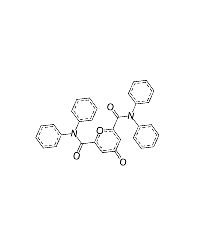 O=C(c1cc(=O)cc(C(=O)N(c2ccccc2)c2ccccc2)o1)N(c1ccccc1)c1ccccc1